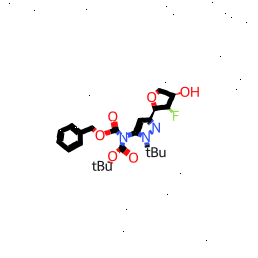 CC(C)(C)OC(=O)N(C(=O)OCc1ccccc1)c1cc([C@H]2OC[C@H](O)[C@H]2F)nn1C(C)(C)C